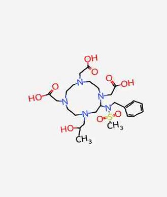 CC(O)CN1CCN(CC(=O)O)CCN(CC(=O)O)CCN(CC(=O)O)C(N(Cc2ccccc2)S(C)(=O)=O)C1